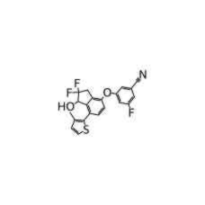 Cc1ccsc1-c1ccc(Oc2cc(F)cc(C#N)c2)c2c1C(O)C(F)(F)C2